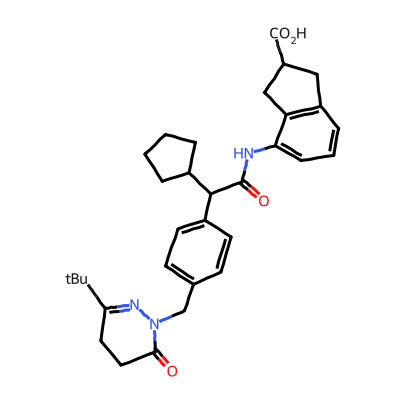 CC(C)(C)C1=NN(Cc2ccc(C(C(=O)Nc3cccc4c3CC(C(=O)O)C4)C3CCCC3)cc2)C(=O)CC1